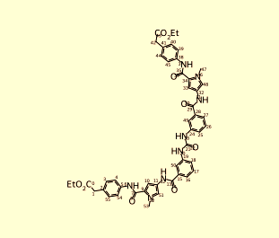 CCOC(=O)Cc1ccc(NC(=O)c2cc(NC(=O)c3cccc(NC(=O)Nc4cccc(C(=O)Nc5cc(C(=O)Nc6ccc(CC(=O)OCC)cc6)n(C)c5)c4)c3)cn2C)cc1